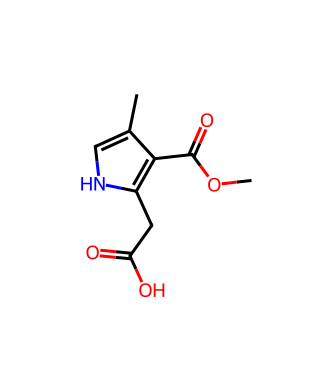 COC(=O)c1c(C)c[nH]c1CC(=O)O